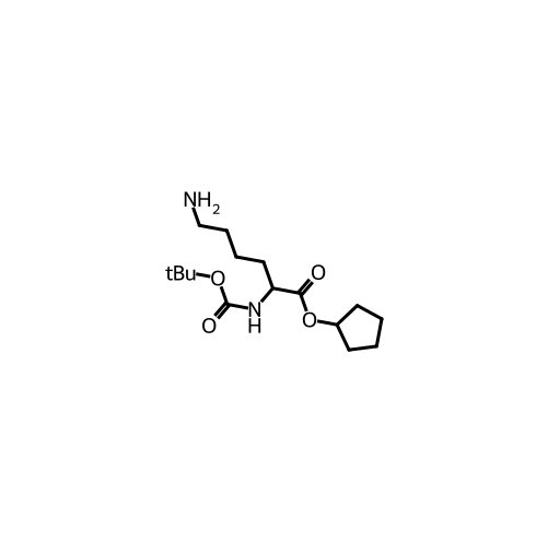 CC(C)(C)OC(=O)NC(CCCCN)C(=O)OC1CCCC1